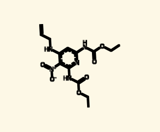 C=CCNc1cc(NC(=O)OCC)nc(NC(=O)OCC)c1[N+](=O)[O-]